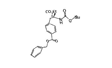 CCOC(=O)[C@H](Cc1ccc(C(=O)OCc2ccccc2)cc1)NC(=O)OC(C)(C)C